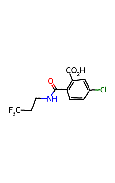 O=C(O)c1cc(Cl)ccc1C(=O)NCCC(F)(F)F